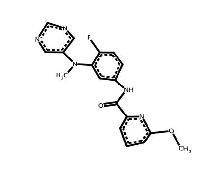 COc1cccc(C(=O)Nc2ccc(F)c(N(C)c3cncnc3)c2)n1